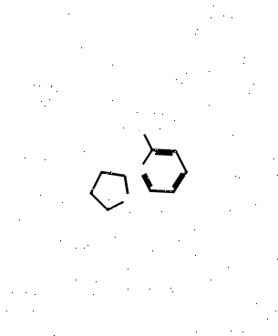 Brc1ccccn1.C1CCOC1